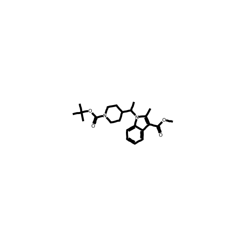 COC(=O)c1c(C)n(C(C)C2CCN(C(=O)OC(C)(C)C)CC2)c2ccccc12